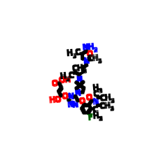 CC(C)[C@@H](CCCN(C)C[C@H](C)C(N)=O)N1CC2(CCN(c3ncnnc3Oc3ccc(F)cc3C(=O)N(C(C)C)C(C)C)C2)C1.O=C(O)/C=C/C(=O)O